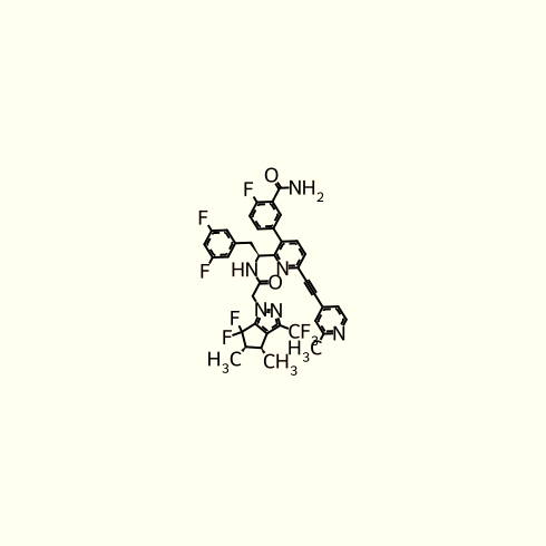 Cc1cc(C#Cc2ccc(-c3ccc(F)c(C(N)=O)c3)c([C@H](Cc3cc(F)cc(F)c3)NC(=O)Cn3nc(C(F)(F)F)c4c3C(F)(F)[C@H](C)[C@@H]4C)n2)ccn1